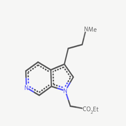 CCOC(=O)Cn1cc(CCNC)c2ccncc21